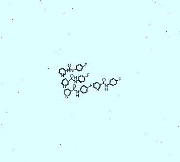 O=C(Nc1ccc(F)cc1)c1cccnc1.O=C(Nc1ccc(F)cc1)c1cccnc1.O=C(Nc1ccc(F)cc1)c1cccnc1.O=C(Nc1ccc(F)cc1)c1cccnc1